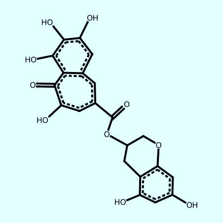 O=C(OC1COc2cc(O)cc(O)c2C1)c1cc(O)c(=O)c2c(O)c(O)c(O)cc2c1